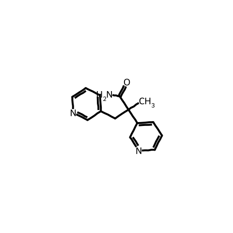 CC(Cc1cccnc1)(C(N)=O)c1cccnc1